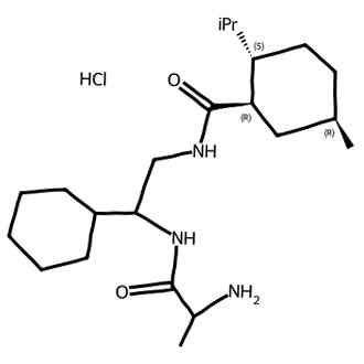 CC(N)C(=O)NC(CNC(=O)[C@@H]1C[C@H](C)CC[C@H]1C(C)C)C1CCCCC1.Cl